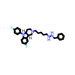 Fc1ccc(N2c3ccc(F)cc3[C@@H]3CN(CCCCCNNCc4ccccc4)CC[C@H]32)cc1